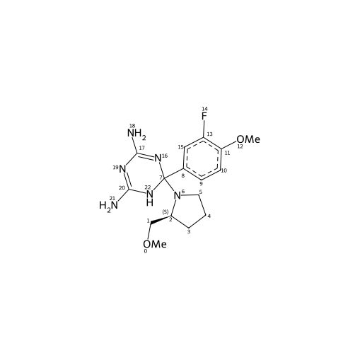 COC[C@@H]1CCCN1C1(c2ccc(OC)c(F)c2)N=C(N)N=C(N)N1